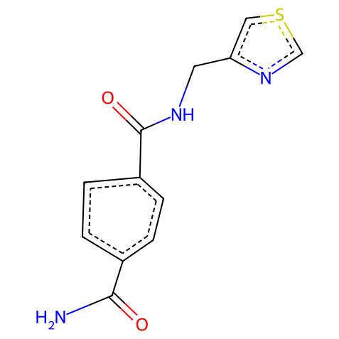 NC(=O)c1ccc(C(=O)NCc2cscn2)cc1